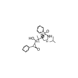 CC(C)C[C@H](CNC(C)(C)[C@H](O)C1C(=O)C1c1ccccc1)NS(=O)(=O)c1ccccc1